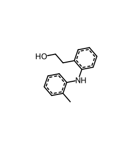 Cc1ccccc1Nc1ccccc1CCO